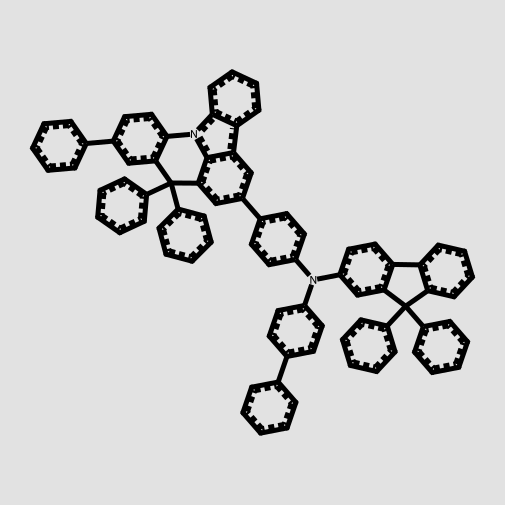 c1ccc(-c2ccc(N(c3ccc(-c4cc5c6c(c4)c4ccccc4n6-c4ccc(-c6ccccc6)cc4C5(c4ccccc4)c4ccccc4)cc3)c3ccc4c(c3)C(c3ccccc3)(c3ccccc3)c3ccccc3-4)cc2)cc1